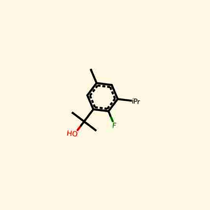 Cc1cc(C(C)C)c(F)c(C(C)(C)O)c1